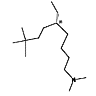 CC[C@H](CCCCN(C)C)CCC(C)(C)C